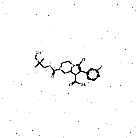 CC(C)(CO)CNC(=O)N1CCN2C(Cl)=C(c3cccc(F)c3)C(C(N)=O)C2C1